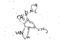 CCc1c(NN2C=NCC2)cc(C)c2nc[nH]c12